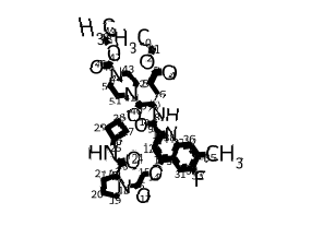 CCOC(=O)CC[C@H](NC(=O)c1cc(OCC(=O)N2CCC[C@H]2C(=O)NC2CCC2)c2cc(F)c(C)cc2n1)C(=O)N1CCN(C(=O)OCC)CC1